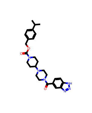 CC(C)c1ccc(COC(=O)N2CCC(N3CCN(C(=O)c4ccc5[nH]nnc5c4)CC3)CC2)cc1